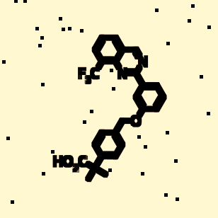 CC(C)(C(=O)O)c1ccc(COc2cccc(-c3ncc4cccc(C(F)(F)F)c4n3)c2)cc1